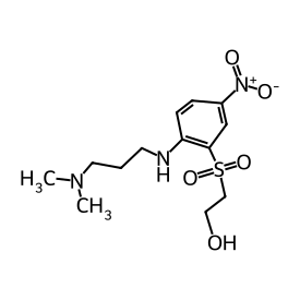 CN(C)CCCNc1ccc([N+](=O)[O-])cc1S(=O)(=O)CCO